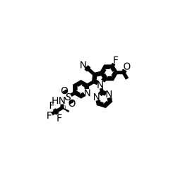 CC(=O)c1cc2c(cc1F)c(C#N)c(-c1ccc(S(=O)(=O)N[C@@H](C)C(F)(F)F)cn1)n2-c1ncccn1